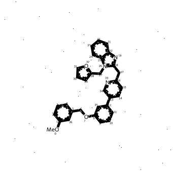 COc1cccc(COc2cccc(-c3ccc(Cc4nc5ccccc5n4Cc4ccco4)nc3)c2)c1